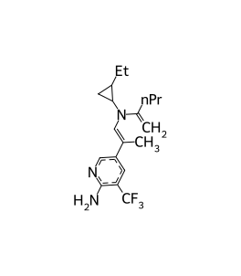 C=C(CCC)N(/C=C(\C)c1cnc(N)c(C(F)(F)F)c1)C1CC1CC